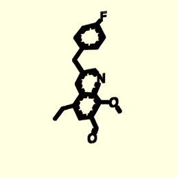 CCc1cc(C=O)c(OC)c2ncc(Cc3ccc(F)cc3)cc12